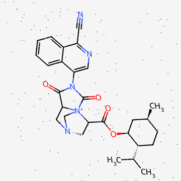 CC(C)[C@H]1CC[C@H](C)C[C@@H]1OC(=O)C1C[N@]2CC3C(=O)N(c4cnc(C#N)c5ccccc45)C(=O)[N+]13C2